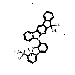 CC1(C)c2ccccc2-c2cc3c4ccccc4n(-c4cccc5c4sc4c([Si](C)(C)C)cccc45)c3cc21